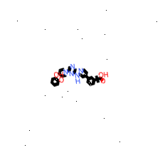 CC(C)(C(=O)O)c1cccc(-c2ccnc(Nc3cncc(N4CCCC(OC5=C(O)CCC=C5)C4)n3)c2)c1